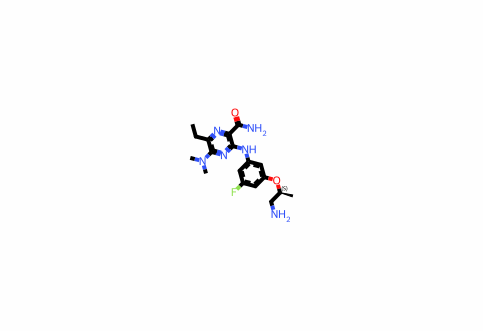 CCc1nc(C(N)=O)c(Nc2cc(F)cc(O[C@@H](C)CN)c2)nc1N(C)C